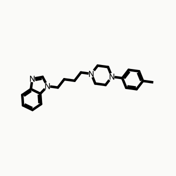 Cc1ccc(N2CCN(CCCCn3cnc4ccccc43)CC2)cc1